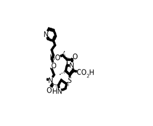 C[C@H]1C(S[C@@H]2CN[C@H](C(=O)N(C)CCOCCCCc3cccnc3)C2)=C(C(=O)O)N2C(=O)[C@H]([C@@H](C)O)C12